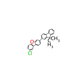 CC1(C)c2ccccc2-c2ccc(-c3ccc4c(c3)oc3ccc(Cl)cc34)cc21